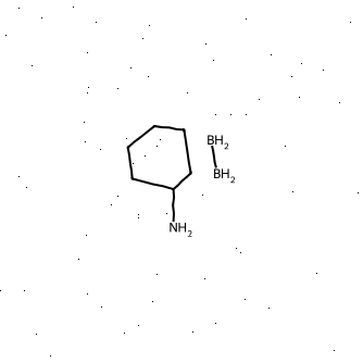 BB.NC1CCCCC1